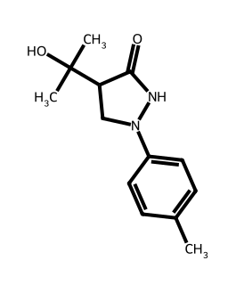 Cc1ccc(N2CC(C(C)(C)O)C(=O)N2)cc1